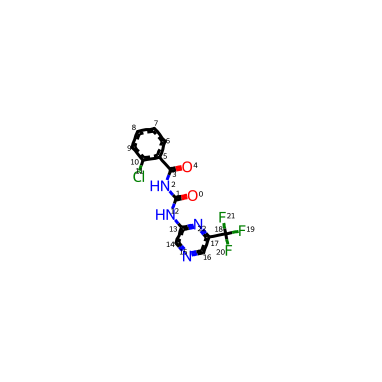 O=C(NC(=O)c1ccccc1Cl)Nc1cncc(C(F)(F)F)n1